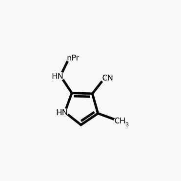 CCCNc1[nH]cc(C)c1C#N